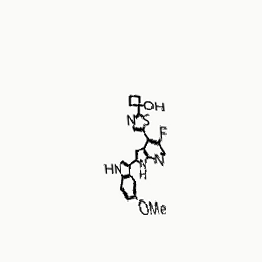 COc1ccc2[nH]cc(-c3cc4c(-c5cnc(C6(O)CCC6)s5)c(F)cnc4[nH]3)c2c1